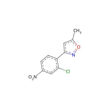 Cc1cc(-c2ccc([N+](=O)[O-])cc2Cl)no1